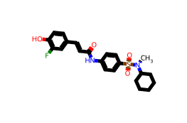 CN(C1CCCCC1)S(=O)(=O)c1ccc(NC(=O)/C=C/c2ccc(O)c(F)c2)cc1